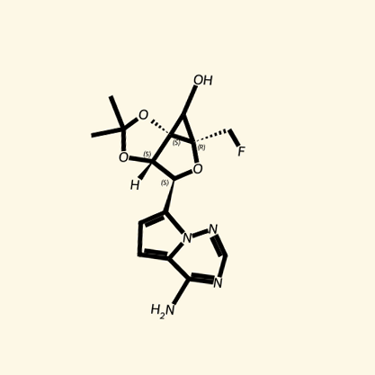 CC1(C)O[C@H]2[C@H](c3ccc4c(N)ncnn34)O[C@]3(CF)C(O)[C@]23O1